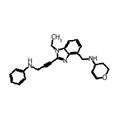 CCn1c(C#CCNc2ccccc2)nc2c(CNC3CCOCC3)cccc21